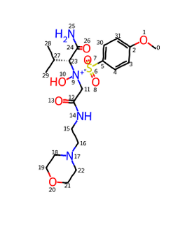 COc1ccc(S(=O)(=O)[N+](O)(CC(=O)NCCN2CCOCC2)[C@@H](C(N)=O)C(C)C)cc1